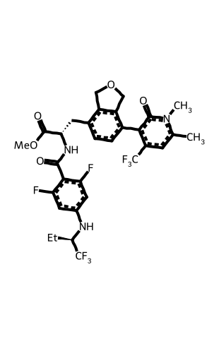 CC[C@@H](Nc1cc(F)c(C(=O)N[C@@H](Cc2ccc(-c3c(C(F)(F)F)cc(C)n(C)c3=O)c3c2COC3)C(=O)OC)c(F)c1)C(F)(F)F